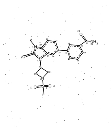 Cn1c(=O)n(C2CN(S(C)(=O)=O)C2)c2cc(-c3cccc(C(N)=O)c3)ccc21